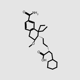 CCC1(CC)c2cc(C(N)=O)ccc2C[C@H](OC)[C@H]1CCC[C@H](CC1CCCCC1)C(=O)O